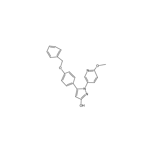 COc1ccc(-n2nc(O)cc2-c2ccc(OCc3ccccc3)cc2)cn1